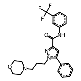 O=C(Nc1cccc(C(F)(F)F)c1)c1cc(-c2ccccc2)n(CCCN2CCOCC2)n1